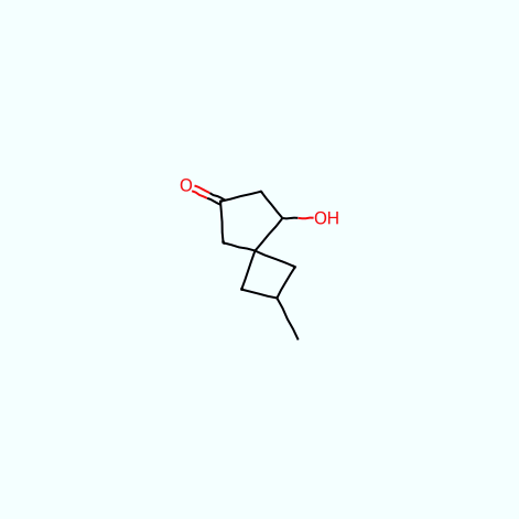 CC1CC2(CC(=O)CC2O)C1